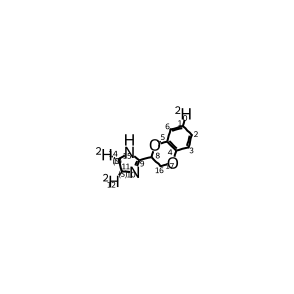 [2H]c1ccc2c(c1)OC(C1=N[C@@H]([2H])[C@H]([2H])N1)CO2